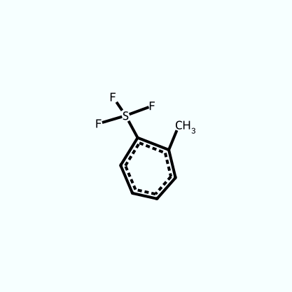 Cc1ccccc1S(F)(F)F